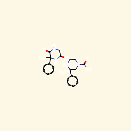 CC1(c2ccccc2)NC(=O)CNC1=O.C[C@@]1(c2ccccc2)CN(C(=O)O)CCN1